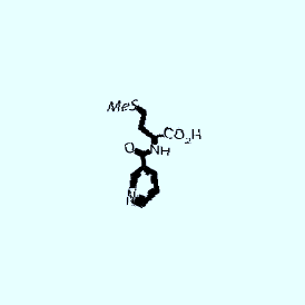 CSCC[C@H](NC(=O)c1cccnc1)C(=O)O